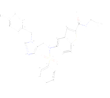 CC(C)(C)CNC(=O)c1cc2cc(N(Cc3cncn3Cc3ccc(C#N)cc3)S(=O)(=O)c3ccccc3)ccc2s1